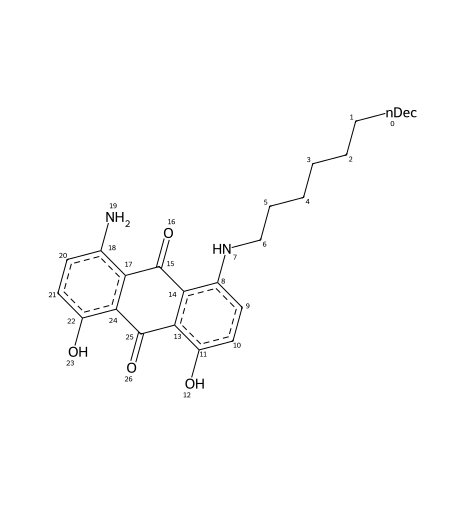 CCCCCCCCCCCCCCCCNc1ccc(O)c2c1C(=O)c1c(N)ccc(O)c1C2=O